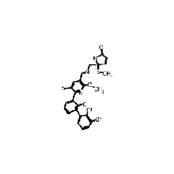 COc1nc(-c2cccc(-c3cccc(Br)c3Cl)c2Cl)c(F)cc1CNC[C@]1(SC)CCC(=O)N1